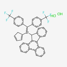 Cl.Cl.FC(F)(F)c1ccc([C](c2ccc(C(F)(F)F)cc2)=[Zr]([C]2=CC=CC2)[CH]2c3ccccc3-c3c2c2ccccc2c2ccccc32)cc1